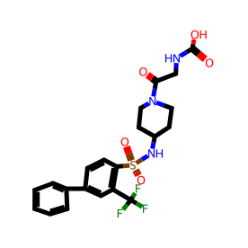 O=C(O)NCC(=O)N1CCC(NS(=O)(=O)c2ccc(-c3ccccc3)cc2C(F)(F)F)CC1